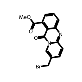 COC(=O)c1cccc2nc3ccc(CBr)cn3c(=O)c12